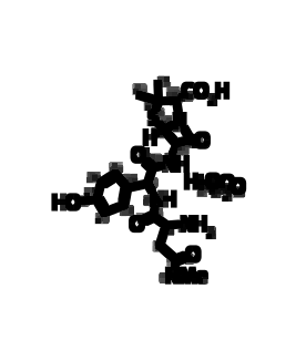 CNC(=O)CC(N)C(=O)NC(C(=O)N[C@@H]1C(=O)N2[C@@H]1SC(C)(C)[C@@H]2C(=O)O)c1ccc(O)cc1.O.O.O